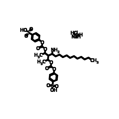 CCCCCCCCCCCC(N)C(C(C)OC(=O)Oc1ccc(S(=O)(=O)O)cc1)C(C)OC(=O)Oc1ccc(S(=O)(=O)O)cc1.Cl.[NaH].[NaH]